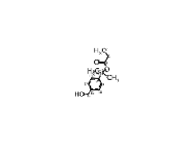 CCC(=O)O[Si](C)(C)c1ccc(CO)cc1